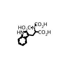 O=C(O)C(Cc1c[nH]c2ccccc12)N(C(=O)O)C(=O)O